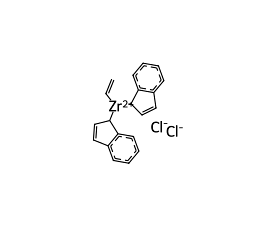 C=[CH][Zr+2]([CH]1C=Cc2ccccc21)[CH]1C=Cc2ccccc21.[Cl-].[Cl-]